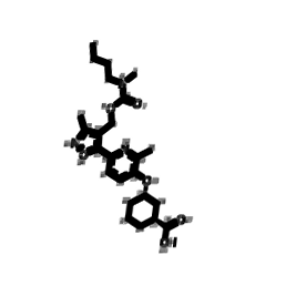 CCCCN(C)C(=O)OCc1c(C)noc1-c1ccc(O[C@H]2CCC[C@H](C(=O)O)C2)c(C)n1